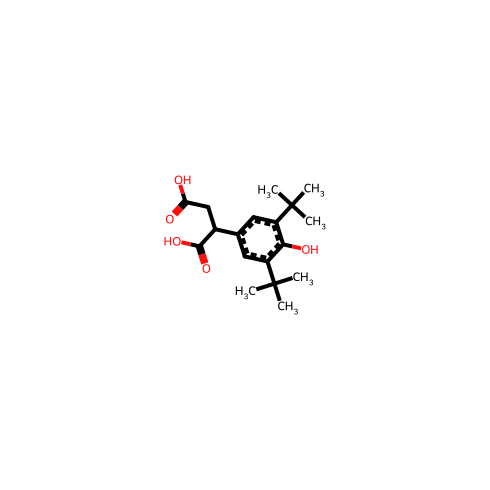 CC(C)(C)c1cc(C(CC(=O)O)C(=O)O)cc(C(C)(C)C)c1O